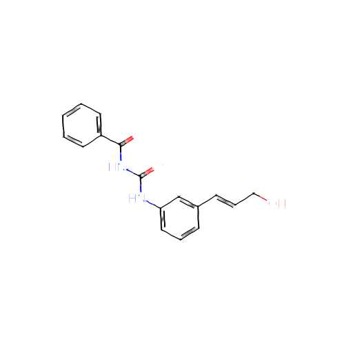 O=C(NC(=O)c1ccccc1)Nc1cccc(/C=C/CO)c1